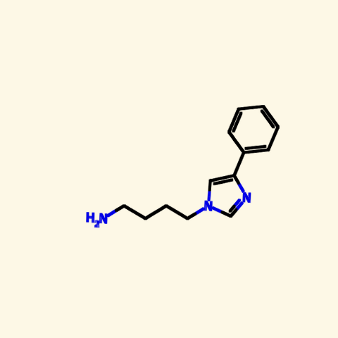 NCCCCn1cnc(-c2ccccc2)c1